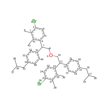 Cc1c(Br)ccc(C(COCC(c2ccc(CC(C)C)cc2)c2ccc(Br)c(C)c2C)c2ccc(CC(C)C)cc2)c1C